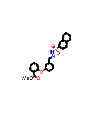 COC(=O)c1ccccc1Oc1cccc(C=NNS(=O)(=O)c2ccc3ccccc3c2)c1